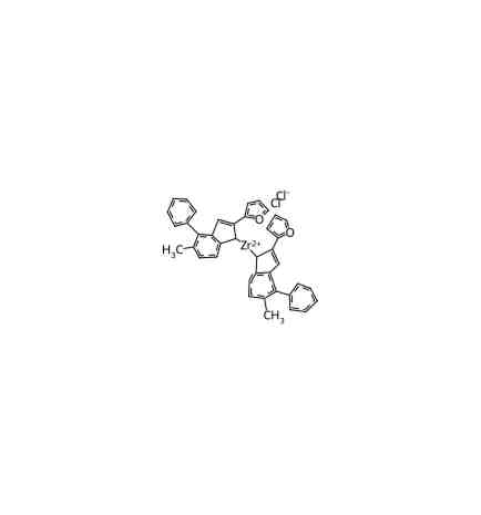 Cc1ccc2c(c1-c1ccccc1)C=C(c1ccco1)[CH]2[Zr+2][CH]1C(c2ccco2)=Cc2c1ccc(C)c2-c1ccccc1.[Cl-].[Cl-]